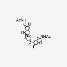 CC(=O)NC1COc2cc(I)c(C(=O)N3CC4(C)CN(C(=O)c5cc6c(cc5I)OCC(NC(C)=O)O6)CC(C)(C3)C4=O)cc2O1